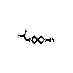 CC(C)N1CC2(CN(CC(F)F)C2)C1